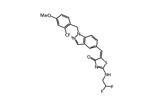 COc1ccc(Cn2ncc3cc(C=C4SC(NCC(F)F)=NC4=O)ccc32)c(C(F)(F)F)c1